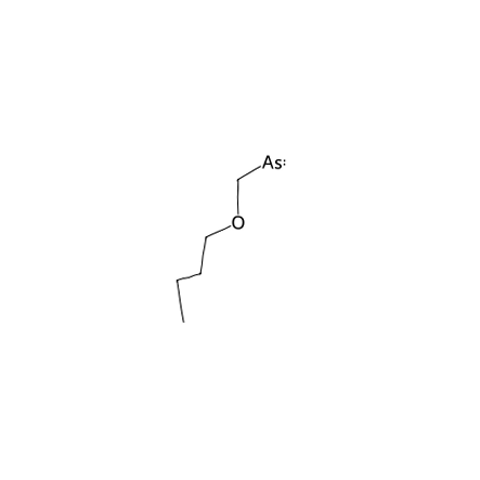 CCCCOC[As]